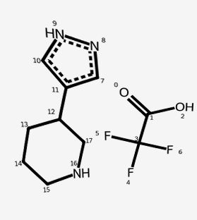 O=C(O)C(F)(F)F.c1n[nH]cc1C1CCCNC1